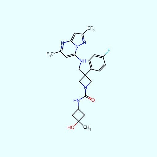 CC1(O)CC(NC(=O)N2CC(CNc3cc(C(F)(F)F)nc4cc(C(F)(F)F)nn34)(c3ccc(F)cc3)C2)C1